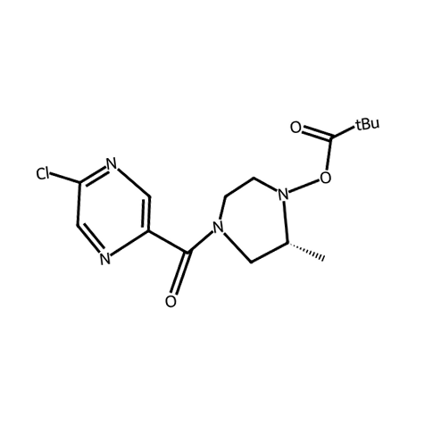 C[C@@H]1CN(C(=O)c2cnc(Cl)cn2)CCN1OC(=O)C(C)(C)C